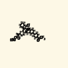 CN(C(=O)OC(C)(C)C)[C@H]1CC[C@H](N(Cc2cc(-c3ccc(C(=O)C(F)(F)F)cc3)ccc2F)C(=O)c2sc3ccccc3c2Cl)CC1